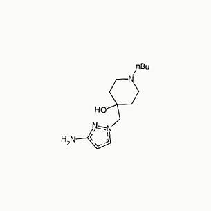 CCCCN1CCC(O)(Cn2ccc(N)n2)CC1